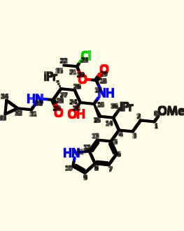 COCCCC(c1ccc2cc[nH]c2c1)C(C[C@H](NC(=O)OC(C)Cl)[C@@H](O)C[C@H](C(=O)NCC1CC1)C(C)C)C(C)C